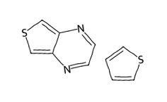 c1ccsc1.c1cnc2cscc2n1